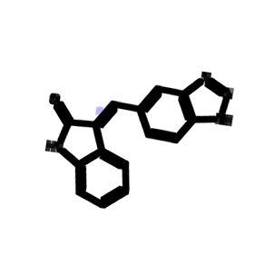 O=C1Nc2ccccc2/C1=C\c1ccc2[nH]nnc2c1